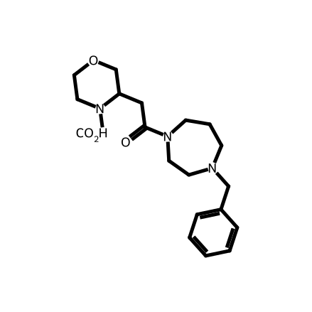 O=C(CC1COCCN1C(=O)O)N1CCCN(Cc2ccccc2)CC1